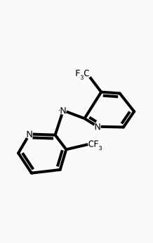 FC(F)(F)c1cccnc1[N]c1ncccc1C(F)(F)F